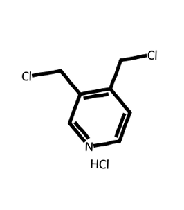 Cl.ClCc1ccncc1CCl